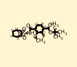 COc1c(C(=O)NS(=O)(=O)N2C3CCC2CC3)ccc(C(=O)OC(C)(C)C)c1F